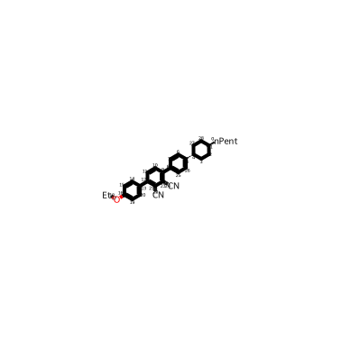 CCCCC[C@H]1CC[C@H](c2ccc(-c3ccc(-c4ccc(OCC)cc4)c(C#N)c3C#N)cc2)CC1